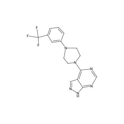 FC(F)(F)c1cccc(N2CCN(c3ncnc4[nH]ncc34)CC2)c1